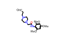 COc1cc(OC)c(NC(=O)CN2CCN(CC[C]=O)CC2)c(OC)c1